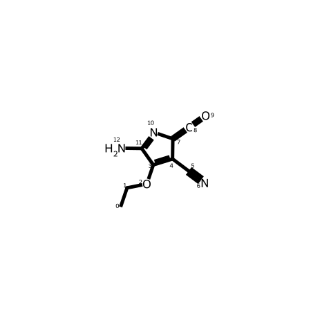 CCOC1=C(C#N)C(=C=O)N=C1N